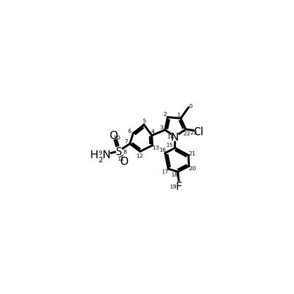 Cc1cc(-c2ccc(S(N)(=O)=O)cc2)n(-c2ccc(F)cc2)c1Cl